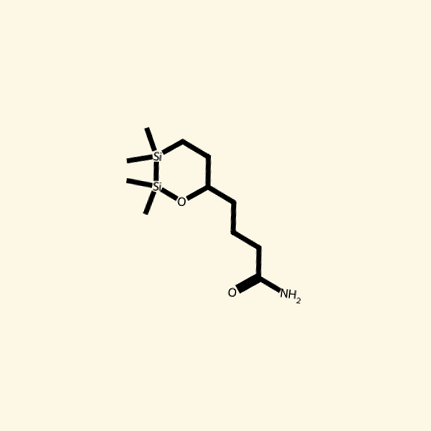 C[Si]1(C)CCC(CCCC(N)=O)O[Si]1(C)C